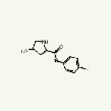 O=C(Nc1ccc(F)cc1)C1CC(O)CN1